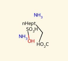 CCCCCCCCC(=O)O.N.N.O=S(=O)(O)O